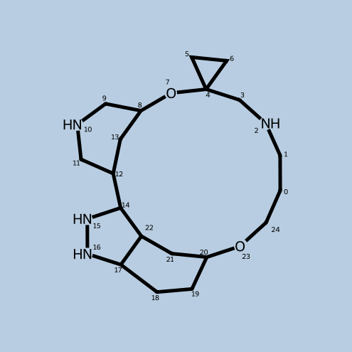 C1CNCC2(CC2)OC2CNCC(C2)C2NNC3CCC(CC32)OC1